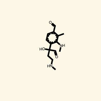 CNCCC(O)(C=O)c1ccc(C=O)c(C)c1NC